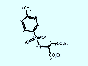 CCOC(=O)CC(NS(=O)(=O)c1ccc(C)cc1)C(=O)OCC